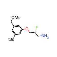 COCc1cc(OC[C@H](F)CN)cc(C(C)(C)C)c1